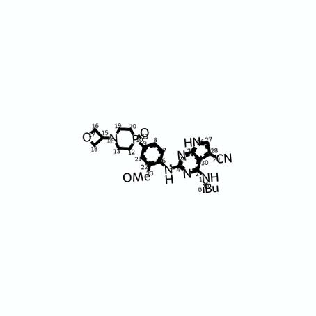 CC[C@H](C)Nc1nc(Nc2ccc(P3(=O)CCN(C4COC4)CC3)cc2OC)nc2[nH]cc(C#N)c12